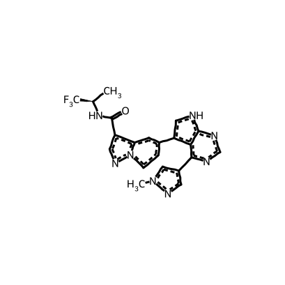 C[C@@H](NC(=O)c1cnn2ccc(-c3c[nH]c4ncnc(-c5cnn(C)c5)c34)cc12)C(F)(F)F